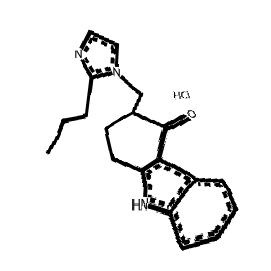 CCCc1nccn1CC1CCc2[nH]c3ccccc3c2C1=O.Cl